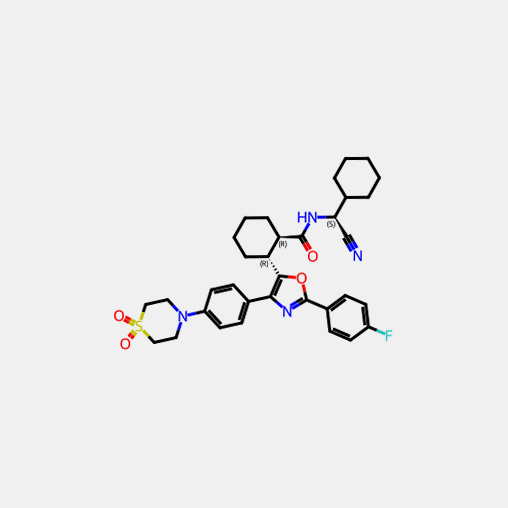 N#C[C@@H](NC(=O)[C@@H]1CCCC[C@H]1c1oc(-c2ccc(F)cc2)nc1-c1ccc(N2CCS(=O)(=O)CC2)cc1)C1CCCCC1